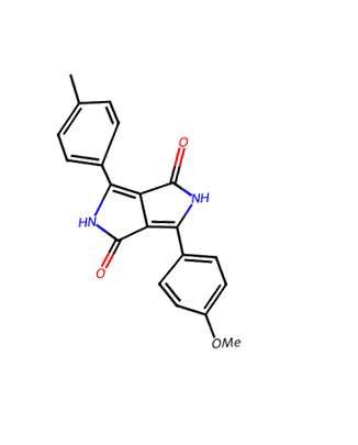 COc1ccc(C2=C3C(=O)NC(c4ccc(C)cc4)=C3C(=O)N2)cc1